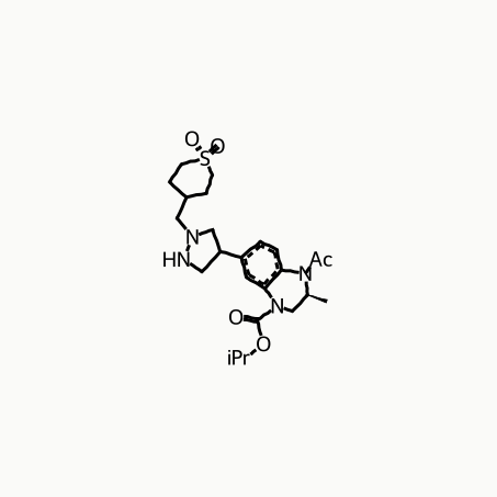 CC(=O)N1c2ccc(C3CNN(CC4CCS(=O)(=O)CC4)C3)cc2N(C(=O)OC(C)C)C[C@@H]1C